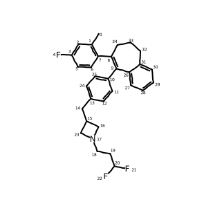 Cc1cc(F)ccc1C1=C(c2ccc(CC3CN(CCC(F)F)C3)cc2)c2ccccc2CCC1